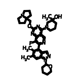 Cc1cc2c(cnn2C2CCCCO2)c(-c2ncc3c(N4CCCC(C)(O)C4)nc(OCC45CCCN4CCC5)nc3c2F)c1C